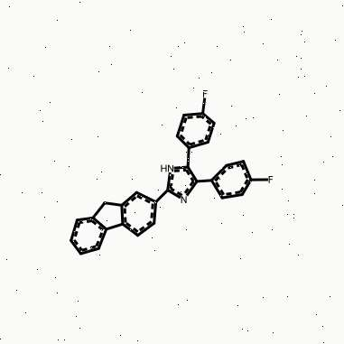 Fc1ccc(-c2nc(-c3ccc4c(c3)Cc3ccccc3-4)[nH]c2-c2ccc(F)cc2)cc1